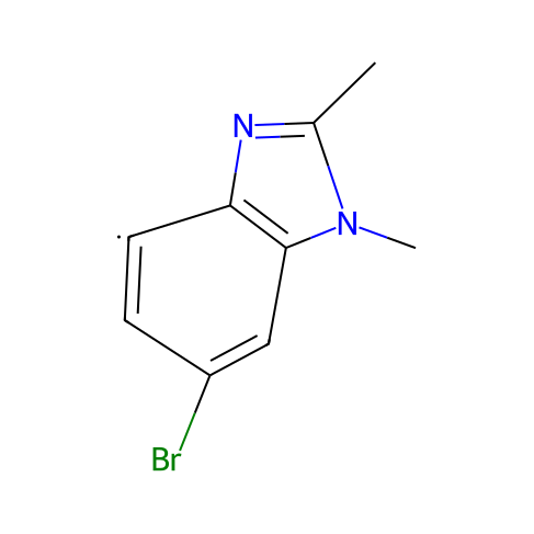 Cc1nc2[c]cc(Br)cc2n1C